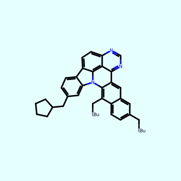 CC(C)(C)Cc1ccc2c(CC(C)(C)C)c3c(cc2c1)c1ncnc2ccc4c5ccc(CC6CCCC6)cc5n3c4c21